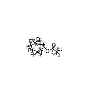 CCC(C)(C)C(=O)OCC1(F)C(F)(F)C(F)(F)C(F)(F)C(F)(F)C1(F)F